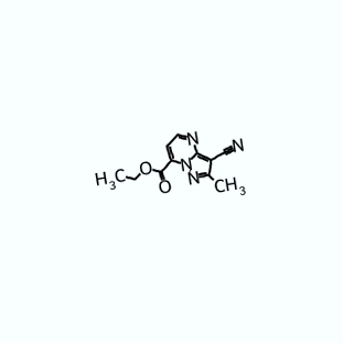 CCOC(=O)c1ccnc2c(C#N)c(C)nn12